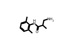 Cc1cccc(C)c1NC(=O)C(C)CN